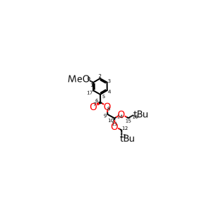 COc1cccc(C(=O)OCC(OCC(C)(C)C)OCC(C)(C)C)c1